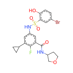 O=C(NC1CCOC1)c1cc(NS(=O)(=O)c2cc(Br)ccc2O)cc(C2CC2)c1F